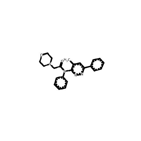 Cc1cc(-c2ccccc2)nnc1N(C(=O)CN1CCOCC1)c1ccccc1